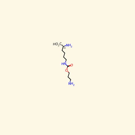 NCCCOC(=O)NCCCC[C@H](N)C(=O)O